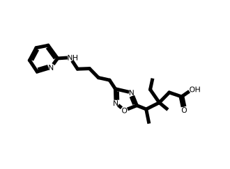 CCC(C)(CC(=O)O)C(C)c1nc(CCCCNc2ccccn2)no1